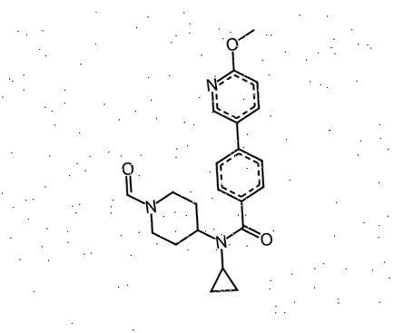 COc1ccc(-c2ccc(C(=O)N(C3CC3)C3CCN(C=O)CC3)cc2)cn1